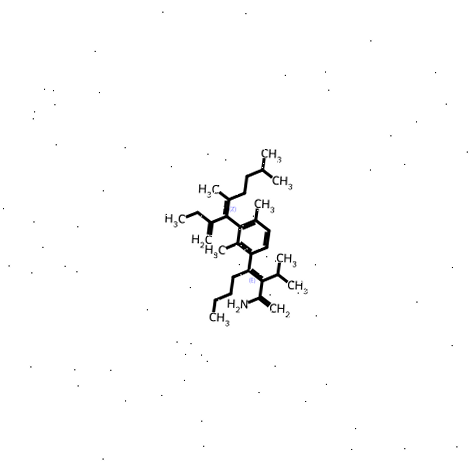 C=C(CC)/C(=C(\C)CCC(C)C)c1c(C)ccc(/C(CCCC)=C(/C(=C)N)C(C)C)c1C